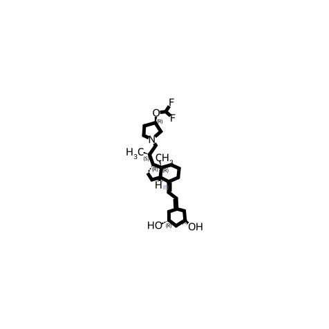 C[C@H](CN1CC[C@@H](OC(F)F)C1)[C@H]1CC[C@H]2/C(=C/C=C3C[C@@H](O)C[C@H](O)C3)CCC[C@]12C